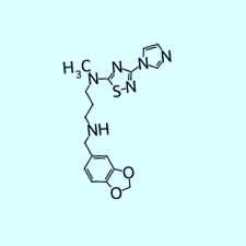 CN(CCCNCc1ccc2c(c1)OCO2)c1nc(-n2ccnc2)ns1